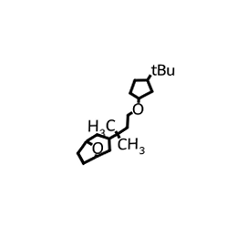 CC(C)(C)C1CCC(OCCC(C)(C)C2CC3CCC(C2)O3)C1